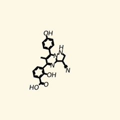 CC1=C(c2ccc(O)cc2)N2NCC(C#N)C2N=C1c1cccc(C(=O)O)c1O